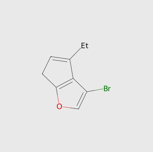 CCC1=CCc2occ(Br)c21